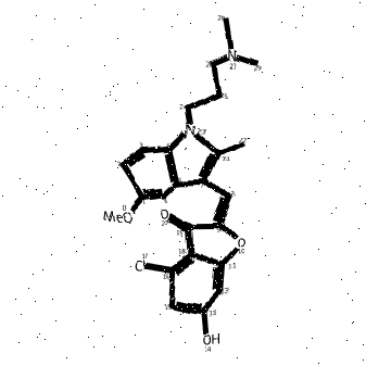 COc1ccc2c(c1)c(C=C1Oc3cc(O)cc(Cl)c3C1=O)c(C)n2CCCN(C)C